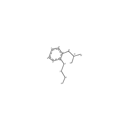 CCCCc1ccccc1[CH]C(C)C